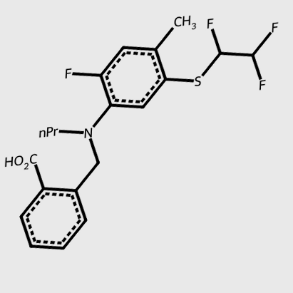 CCCN(Cc1ccccc1C(=O)O)c1cc(SC(F)C(F)F)c(C)cc1F